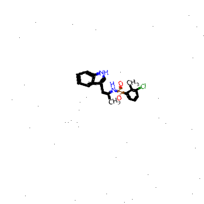 Cc1c(Cl)cccc1S(=O)(=O)NC(C)Cc1c[nH]c2ccccc12